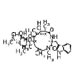 C[C@H]1CN(C)C(=O)[C@H](Cc2c[nH]c3ccccc23)NC(=O)[C@H](C)[C@@H](O)[C@H](C)[C@@H](O[C@@H]2O[C@H](C)C[C@H](N(C)C)[C@H]2O)[C@](C)(O)C1